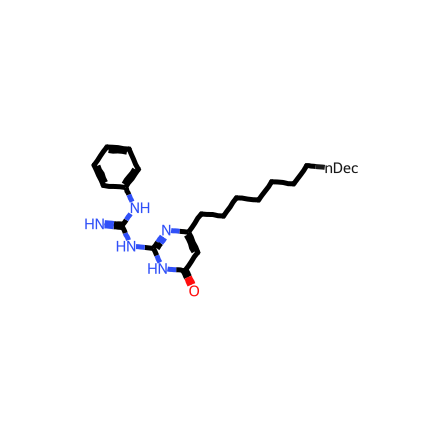 CCCCCCCCCCCCCCCCCc1cc(=O)[nH]c(NC(=N)Nc2ccccc2)n1